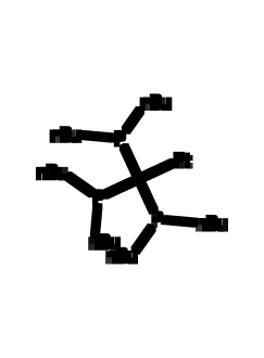 CCCCP(CCCC)C(CC)(P(CCCC)CCCC)P(CCCC)CCCC